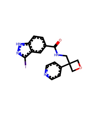 O=C(NCC1(c2ccncc2)COC1)c1ccc2[nH]nc(I)c2c1